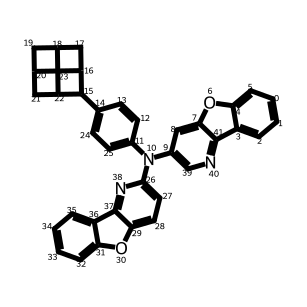 c1ccc2c(c1)oc1cc(N(c3ccc(C4C5CC6CC7CC4C675)cc3)c3ccc4oc5ccccc5c4n3)cnc12